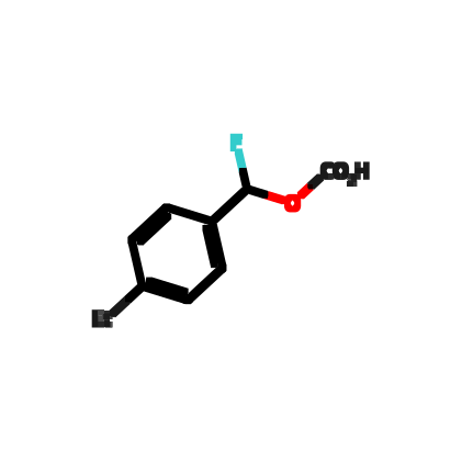 CCc1ccc(C(F)OC(=O)O)cc1